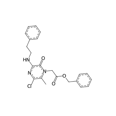 Cc1c(Cl)nc(NCCc2ccccc2)c(=O)n1CC(=O)OCc1ccccc1